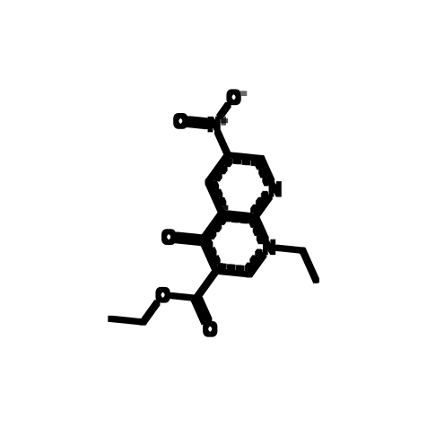 CCOC(=O)c1cn(CC)c2ncc([N+](=O)[O-])cc2c1=O